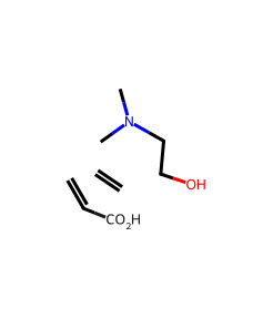 C=C.C=CC(=O)O.CN(C)CCO